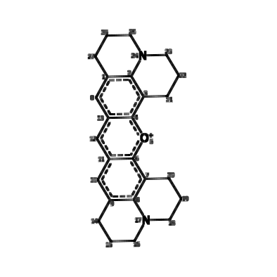 c1c2c3c(c4[o+]c5c6c7c(cc5cc14)CCCN7CCC6)CCCN3CCC2